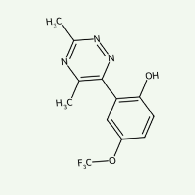 Cc1nnc(-c2cc(OC(F)(F)F)ccc2O)c(C)n1